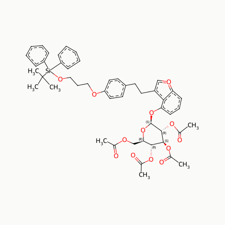 CC(=O)OC[C@H]1O[C@@H](Oc2cccc3occ(CCc4ccc(OCCCO[Si](c5ccccc5)(c5ccccc5)C(C)(C)C)cc4)c23)[C@H](OC(C)=O)[C@@H](OC(C)=O)[C@@H]1OC(C)=O